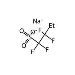 CCC(F)(F)C(F)(F)S(=O)(=O)[O-].[Na+]